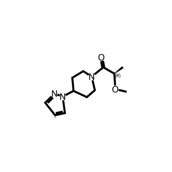 CO[C@H](C)C(=O)N1CCC(n2c[c]cn2)CC1